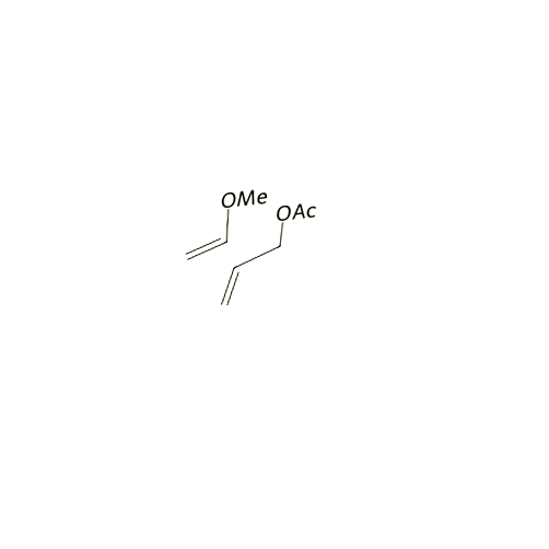 C=CCOC(C)=O.C=COC